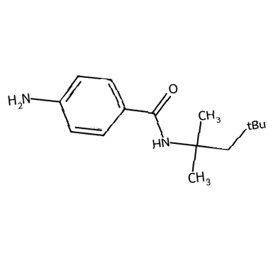 CC(C)(C)CC(C)(C)NC(=O)c1ccc(N)cc1